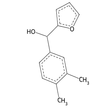 Cc1ccc(C(O)c2ccco2)cc1C